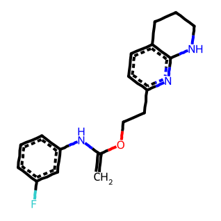 C=C(Nc1cccc(F)c1)OCCc1ccc2c(n1)NCCC2